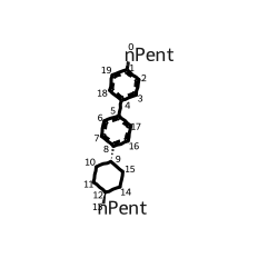 CCCCCc1ccc(-c2ccc([C@H]3CC[C@H](CCCCC)CC3)cc2)cc1